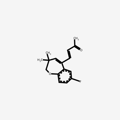 CC(=O)/C=C/C1=CC(C)(C)COc2ccc(F)cc21